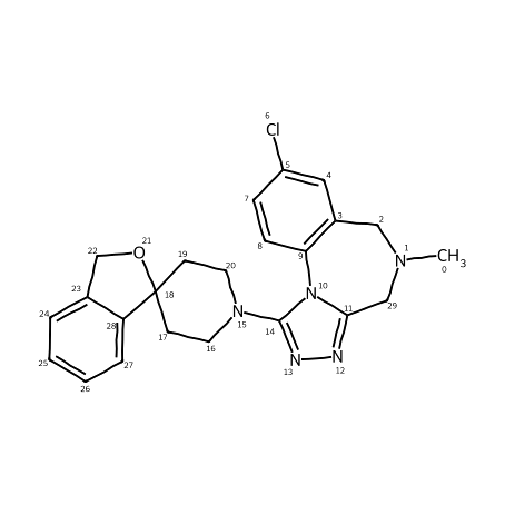 CN1Cc2cc(Cl)ccc2-n2c(nnc2N2CCC3(CC2)OCc2ccccc23)C1